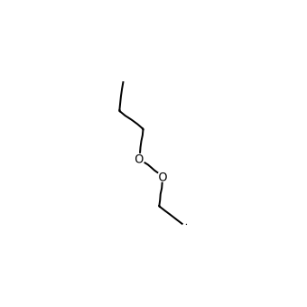 [CH2]COOCCC